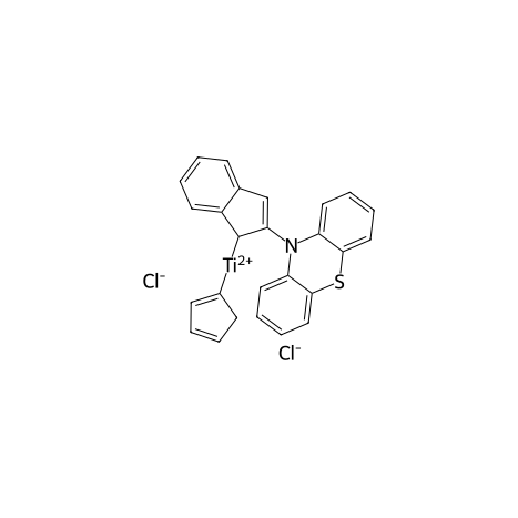 C1=CC[C]([Ti+2][CH]2C(N3c4ccccc4Sc4ccccc43)=Cc3ccccc32)=C1.[Cl-].[Cl-]